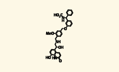 COc1cc(COc2cccc(C(NC(=O)O)c3ccccc3)c2)ccc1CNCC(O)c1ccc(O)c2[nH]c(=O)ccc12